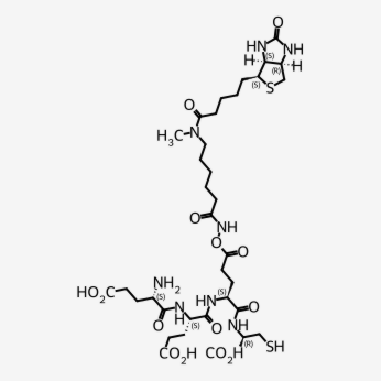 CN(CCCCCC(=O)NOC(=O)CC[C@H](NC(=O)[C@H](CCC(=O)O)NC(=O)[C@@H](N)CCC(=O)O)C(=O)N[C@@H](CS)C(=O)O)C(=O)CCCC[C@@H]1SC[C@@H]2NC(=O)N[C@@H]21